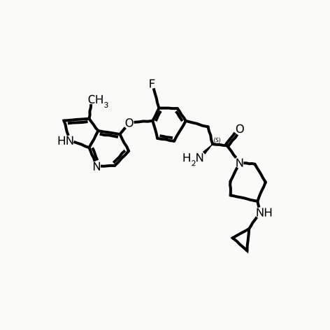 Cc1c[nH]c2nccc(Oc3ccc(C[C@H](N)C(=O)N4CCC(NC5CC5)CC4)cc3F)c12